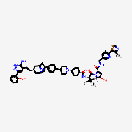 Cc1ncsc1-c1ccc(CNC(=O)[C@@H]2C[C@@H](O)CN2C(=O)[C@@H](NC(=O)[C@H]2CC[C@@H](N3CCC(c4ccc(C56CC7CC(CCC8=C(N)NNC(c9ccccc9O)=C8)CC(C5)N76)cc4)CC3)CC2)C(C)(C)C)cn1